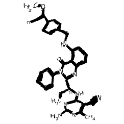 CC[C@H](Nc1nc(N)nc(C)c1C#N)c1nc2cccc(NCc3ccc(C(=O)OC)cc3)c2c(=O)n1-c1ccccc1